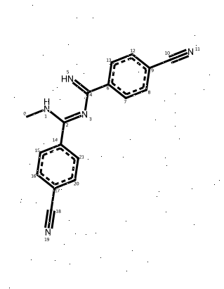 CN/C(=N\C(=N)c1ccc(C#N)cc1)c1ccc(C#N)cc1